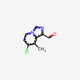 Cc1c(Cl)ccn2cnc(C=O)c12